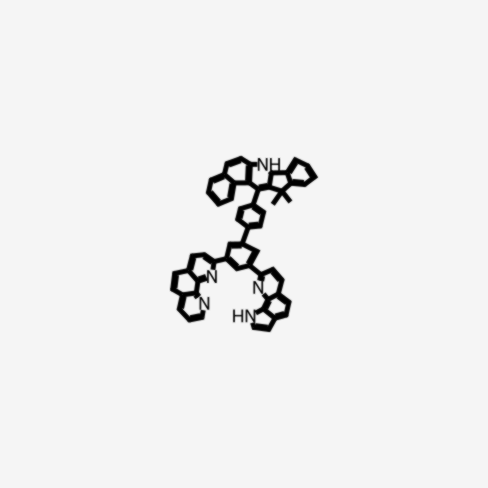 CC1(C)C2=C(c3ccc(-c4cc(-c5ccc6ccc7cccnc7c6n5)cc(-c5ccc6ccc7cc[nH]c7c6n5)c4)cc3)c3c(ccc4ccccc34)NC2c2ccccc21